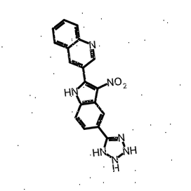 O=[N+]([O-])c1c(-c2cnc3ccccc3c2)[nH]c2ccc(C3=NNNN3)cc12